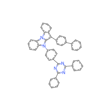 c1ccc(-c2ccc(-c3c4ccccc4n4c5ccccc5n(-c5ccc(-c6nc(-c7ccccc7)nc(-c7ccccc7)n6)cc5)c34)cc2)cc1